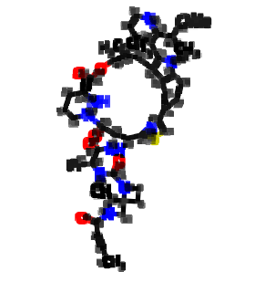 CC#CC(=O)N1CC2(CCN2C(=O)N(C)[C@H](C(=O)N[C@H]2Cc3nc(cs3)-c3ccc4c(c3)c(c(-c3cccnc3[C@H](C)OC)n4CC)CC(C)(C)COC(=O)[C@@H]3CCCN(N3)C2=O)C(C)C)C1